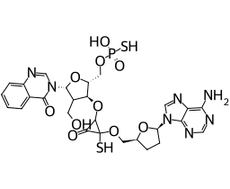 Nc1ncnc2c1ncn2[C@H]1CC[C@@H](COC2(S)C(=O)C2O[C@H]2C(CO)[C@H](n3cnc4ccccc4c3=O)O[C@@H]2COP(=O)(O)S)O1